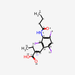 CCCC(=O)Nc1c(I)cc(I)c(/C=C(\CC)C(=O)O)c1I